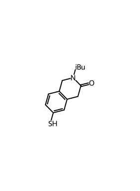 CCC(C)N1Cc2ccc(S)cc2CC1=O